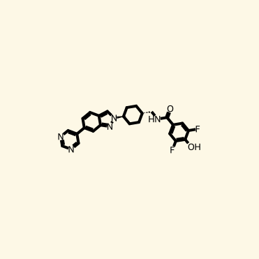 O=C(NC[C@H]1CC[C@H](n2cc3ccc(-c4cncnc4)cc3n2)CC1)c1cc(F)c(O)c(F)c1